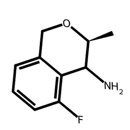 C[C@@H]1OCc2cccc(F)c2C1N